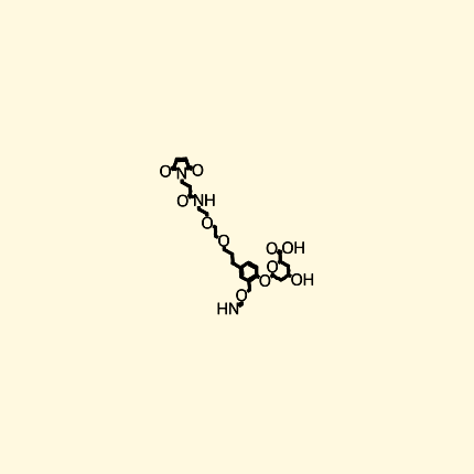 N=COCc1cc(CCCOCCOCCNC(=O)CCN2C(=O)C=CC2=O)ccc1OC1CC(O)CC(C(=O)O)O1